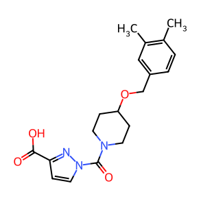 Cc1ccc(COC2CCN(C(=O)n3ccc(C(=O)O)n3)CC2)cc1C